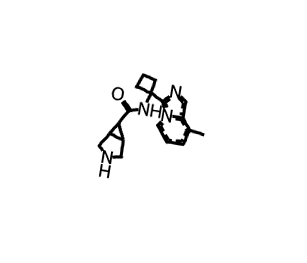 Cc1cccn2c(C3(NC(=O)C4C5CNCC54)CCC3)ncc12